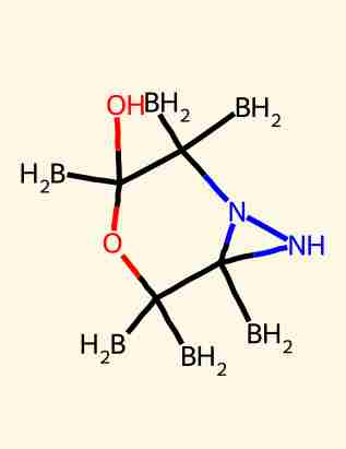 BC1(B)OC(B)(O)C(B)(B)N2NC21B